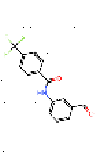 O=Cc1cccc(NC(=O)c2ccc(C(F)(F)F)cc2)c1